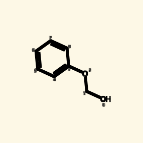 OCOc1c[c]ccc1